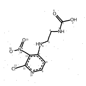 O=C(O)NCCNc1ccnc(Cl)c1[N+](=O)[O-]